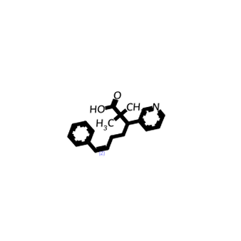 CC(C)(C(=O)O)C(CC/C=C\c1ccccc1)c1cccnc1